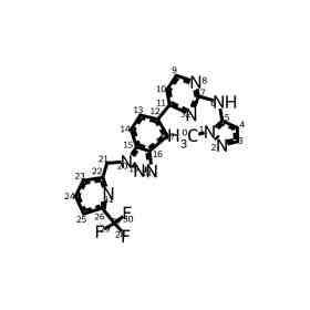 Cn1nccc1Nc1nccc(-c2ccc3c(c2)nnn3Cc2cccc(C(F)(F)F)n2)n1